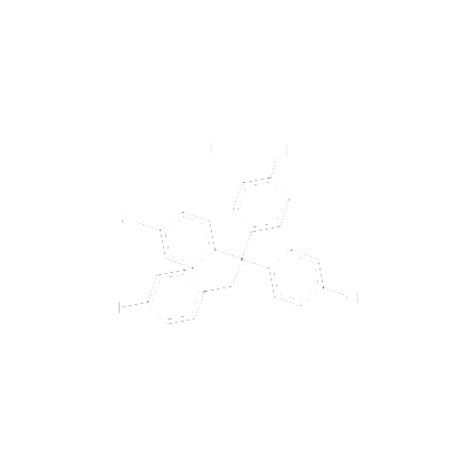 Clc1ccc(CC(c2ccc(Cl)cc2)(c2ccc(Cl)cc2)c2ccc(Cl)cc2)cc1.[KH]